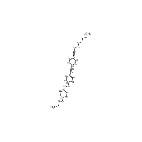 CCCCCCCC#Cc1ccc(C#Cc2ccc(CC[C@H]3CC[C@H](CCCC)CC3)cc2)cc1